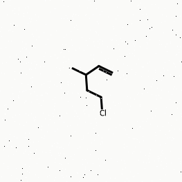 [CH2]C(C=C)CCCl